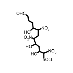 CCCCCCCCC(C(O)CC(O)C(CC(C(O)CCCC=O)[N+](=O)[O-])[N+](=O)[O-])[N+](=O)[O-]